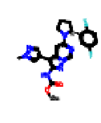 Cn1cc(-c2c(NC(=O)OC(C)(C)C)nn3cnc(N4CCC[C@@H]4c4cc(F)ccc4F)cc23)cn1